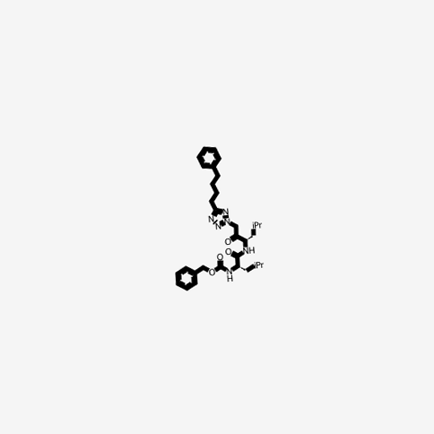 CC(C)C[C@H](NC(=O)[C@H](CC(C)C)NC(=O)OCc1ccccc1)C(=O)Cn1nnc(CCCCc2ccccc2)n1